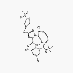 CC(C)(C)NC(=O)c1cc(Cl)cc(Cl)c1NC(=O)c1cc(Cn2cc(C(F)(F)F)nn2)nn1-c1ncccc1Cl